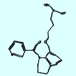 CCCN(CCC)CCCCOc1cccc2c1N(C(=O)c1cccnc1)CCC2